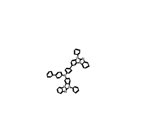 c1ccc(-c2ccc(N(c3ccc(-c4ccc5c(c4)n4c6ccccc6nc4n5-c4ccccc4)cc3)c3ccc4c(c3)n3c5ccccc5nc3n4-c3ccccc3)cc2)cc1